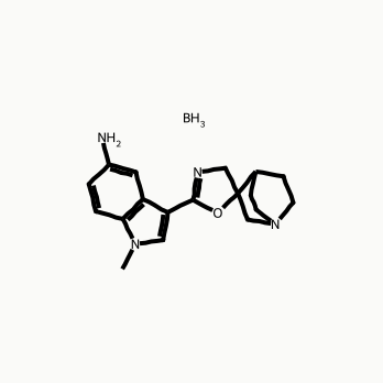 B.Cn1cc(C2=NCC3(CN4CCC3CC4)O2)c2cc(N)ccc21